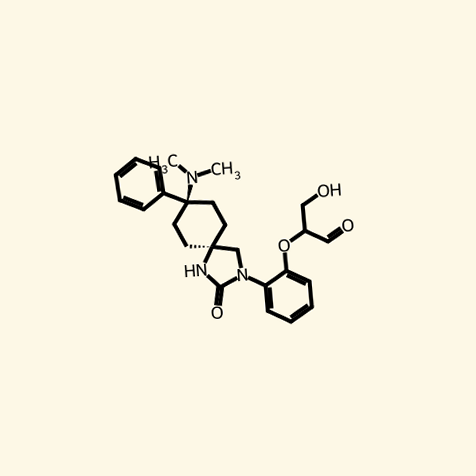 CN(C)[C@]1(c2ccccc2)CC[C@]2(CC1)CN(c1ccccc1OC(C=O)CO)C(=O)N2